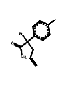 C=CCC(CC)(C(N)=O)c1ccc(F)cc1